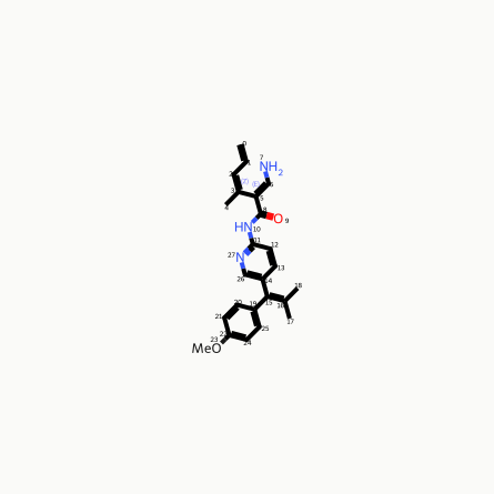 C=C/C=C(C)\C(=C/N)C(=O)Nc1ccc(C(=C(C)C)c2ccc(OC)cc2)cn1